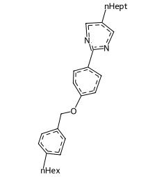 CCCCCCCc1cnc(-c2ccc(OCc3ccc(CCCCCC)cc3)cc2)nc1